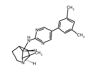 Cc1cc(C)cc(-c2cnc(N[C@H]3C4CCN(CC4)[C@@H]3C)nc2)c1